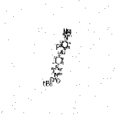 CC(C)(C)OC(=O)N1CCN([C@H]2CC[C@H](COc3ccc(-n4cnnc4)cc3F)CC2)CC1